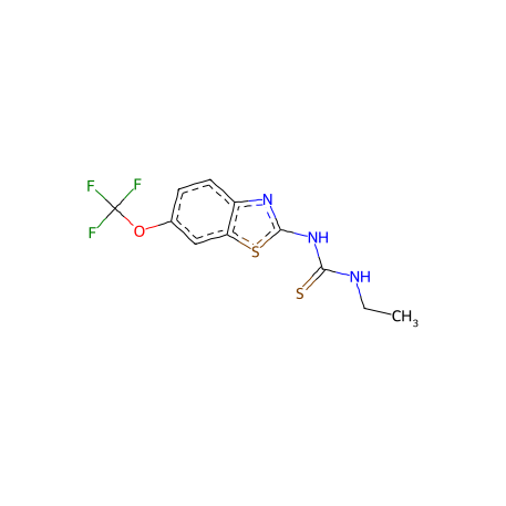 CCNC(=S)Nc1nc2ccc(OC(F)(F)F)cc2s1